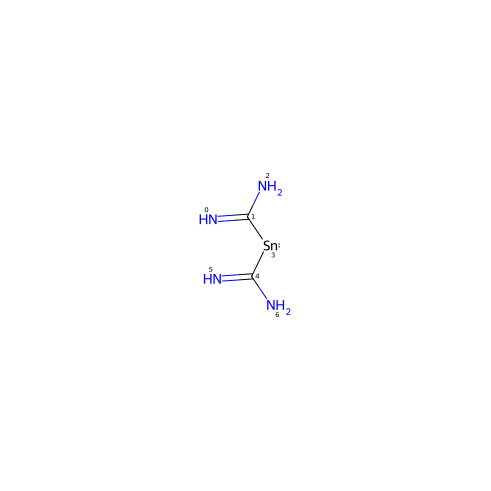 N=[C](N)[Sn][C](=N)N